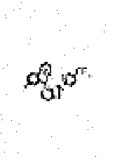 Cc1ccc(-n2cccn2)c(C(=O)N2CCC[C@@H](C)[C@H]2CNc2ccc(C(F)(F)F)cn2)c1